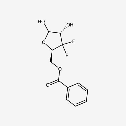 O=C(OC[C@H]1OC(O)[C@H](O)C1(F)F)c1ccccc1